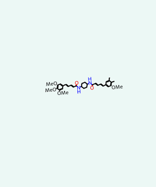 COc1cc(/C=C/C=C/C(=O)NC2CCC(NC(=O)/C=C/C=C/c3cc(OC)c(OC)c(OC)c3)CC2)cc(C)c1C